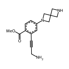 COC(=O)c1ccc(N2CC3(CNC3)C2)cc1C#CCN